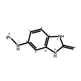 C=C1Nc2ccc(NC(C)C)cc2N1